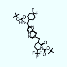 CC(C)(C)OC(=O)N[C@H](c1cn2ncc(CC3CCC(C(F)(F)F)N(C(=O)OC(C)(C)C)C3=O)cc2n1)C1CCC(F)(F)CC1